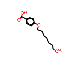 O=C(O)c1ccc(OCCCCCCCO)cc1